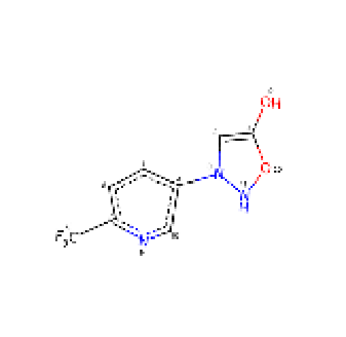 OC1=CN(c2ccc(C(F)(F)F)nc2)NO1